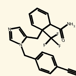 N#Cc1ccc(Cn2cncc2CC2(C(F)(F)F)C=CC=CC2C(N)=O)cc1